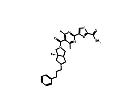 Cc1nc(-c2csc(C(N)=O)n2)nc(C)c1C(=O)N1CC2CN(CC[CH]c3ccccc3)C[C@H]2C1